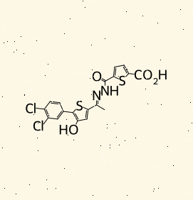 CC(=NNC(=O)c1ccc(C(=O)O)s1)c1cc(O)c(-c2ccc(Cl)c(Cl)c2)s1